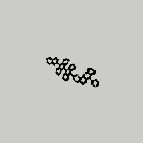 c1ccc(-c2c3ccccc3nc3c2ccc2ccc(-c4c5ccccc5c(-c5c6ccccc6c(-c6ccc7ccccc7c6)c6ccccc56)c5ccccc45)nc23)cc1